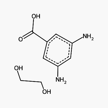 Nc1cc(N)cc(C(=O)O)c1.OCCO